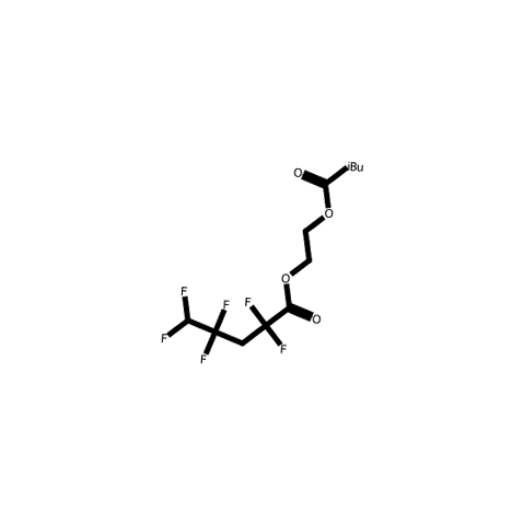 CCC(C)C(=O)OCCOC(=O)C(F)(F)CC(F)(F)C(F)F